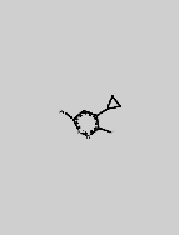 CC(C)c1cc(C2CC2)c(Br)nn1